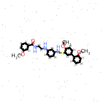 COc1cccc(C(=O)NCCNc2cccc(NSc3cc(-c4ccccc4OC)ccc3OC)c2)c1